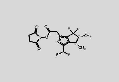 C[C@@H]1c2c(C(F)F)nn(CC(=O)ON3C(=O)CCC3=O)c2C(F)(F)[C@@H]1C